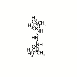 CCC(C)(C)OC(=O)NCCNCCNC(=O)OC(C)(C)C